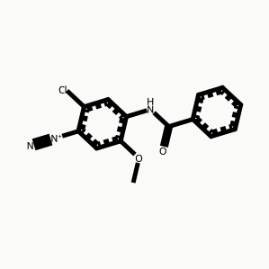 COc1cc([N+]#N)c(Cl)cc1NC(=O)c1ccccc1